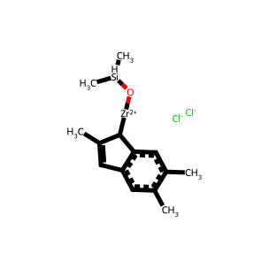 CC1=Cc2cc(C)c(C)cc2[CH]1[Zr+2][O][SiH](C)C.[Cl-].[Cl-]